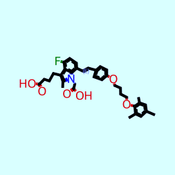 Cc1cc(C)c(OCCCCOc2ccc(/C=C/c3ccc(F)c4c(CCCC(=O)O)c(C)n(CC(=O)O)c34)cc2)c(C)c1